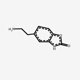 NCCc1ccc2oc(=O)[nH]c2c1